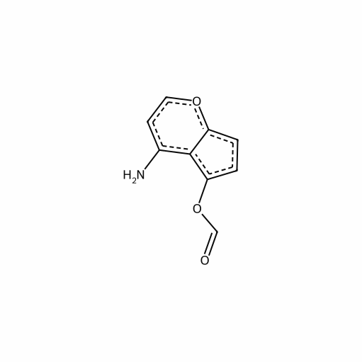 Nc1ccoc2ccc(OC=O)c1-2